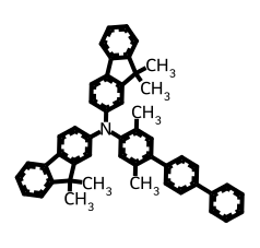 Cc1cc(N(c2ccc3c(c2)C(C)(C)c2ccccc2-3)c2ccc3c(c2)C(C)(C)c2ccccc2-3)c(C)cc1-c1ccc(-c2ccccc2)cc1